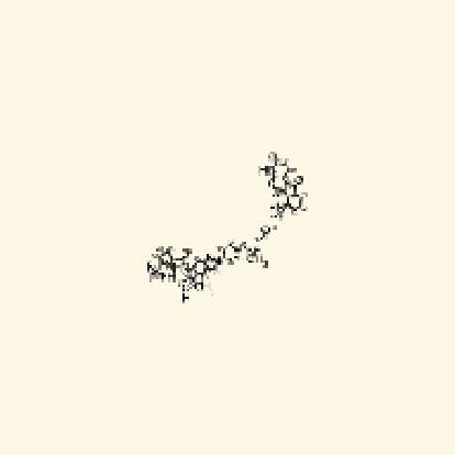 CN(CCCOCCCNc1cccc2c1C(=O)N(C1CCC(=O)NC1=O)C2=O)CC1CCC(n2cc3cc(C(C)(C)O)c(NC(=O)c4cccc(C(F)(F)F)n4)cc3n2)CC1